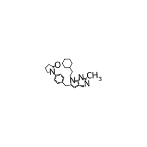 Cc1ncc2cc(Cc3ccc(N4CCCC4=O)cc3)n(CCC3CCCCC3)c2n1